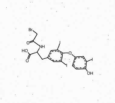 O=C(CBr)NC(Cc1cc(I)c(Oc2ccc(O)c(I)c2)c(I)c1)C(=O)O